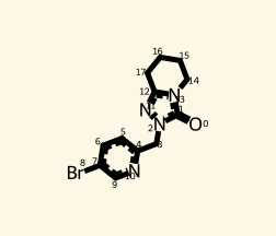 O=c1n(Cc2ccc(Br)cn2)nc2n1CCCC2